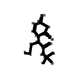 CCCN(C(=O)OC(C)(C)C)N1C=CC(=S)CC1=O